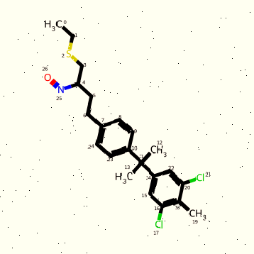 CCSCC(CCc1ccc(C(C)(C)c2cc(Cl)c(C)c(Cl)c2)cc1)N=O